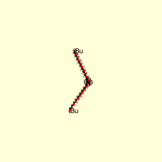 CCC(C)CCCCCCCCCCCCCCCCCOS(=O)(=O)OCCCCCCCCCCCCCCCCCC(C)CC